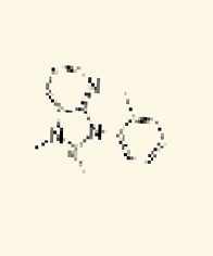 Cc1ccccc1N1c2ncccc2N(C)[C@H]1C